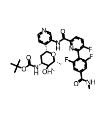 CNC(=O)c1cc(F)c(-c2nc(C(=O)Nc3cnccc3[C@H]3C[C@@H](NC(=O)OC(C)(C)C)[C@](C)(O)[C@@H](C)O3)ccc2F)c(F)c1